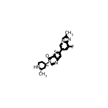 Cc1cn2cc(-c3cc4ncn([C@@H]5CCN[C@@H](C)C5)c(=O)c4s3)cc(F)c2n1